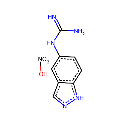 N=C(N)Nc1ccc2[nH]ncc2c1.O=[N+]([O-])O